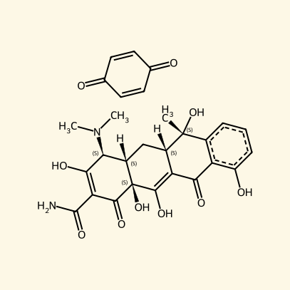 CN(C)[C@@H]1C(O)=C(C(N)=O)C(=O)[C@@]2(O)C(O)=C3C(=O)c4c(O)cccc4[C@@](C)(O)[C@H]3C[C@@H]12.O=C1C=CC(=O)C=C1